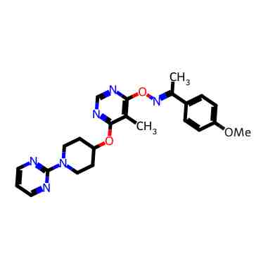 COc1ccc(C(C)=NOc2ncnc(OC3CCN(c4ncccn4)CC3)c2C)cc1